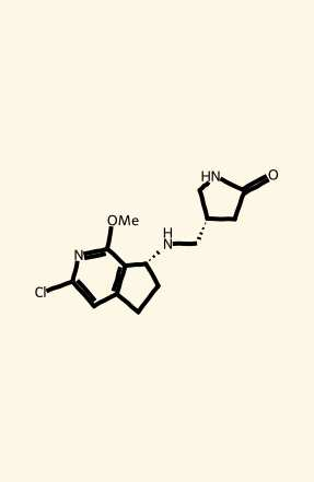 COc1nc(Cl)cc2c1[C@H](NC[C@@H]1CNC(=O)C1)CC2